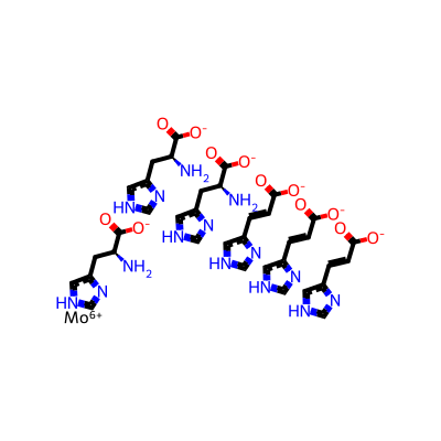 N[C@@H](Cc1c[nH]cn1)C(=O)[O-].N[C@@H](Cc1c[nH]cn1)C(=O)[O-].N[C@@H](Cc1c[nH]cn1)C(=O)[O-].O=C([O-])C=Cc1c[nH]cn1.O=C([O-])C=Cc1c[nH]cn1.O=C([O-])C=Cc1c[nH]cn1.[Mo+6]